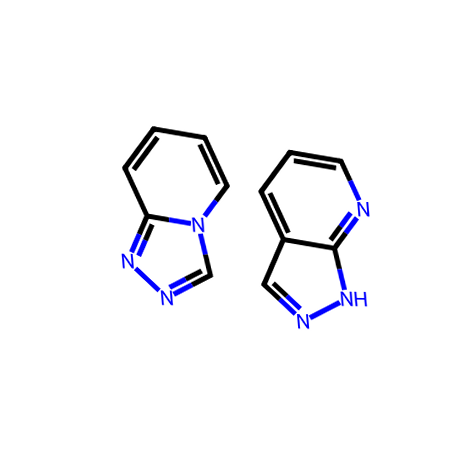 c1ccn2cnnc2c1.c1cnc2[nH]ncc2c1